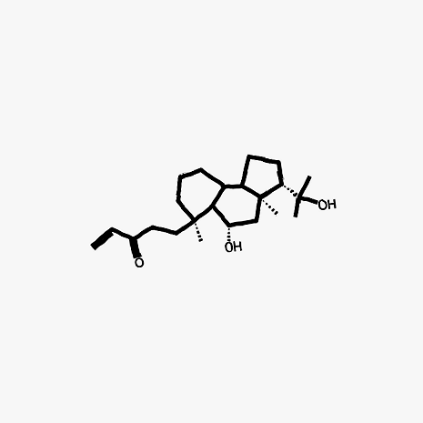 C=CC(=O)CC[C@@]1(C)CCCC2C1[C@@H](O)C[C@@]1(C)C2CC[C@@H]1C(C)(C)O